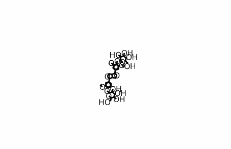 COc1cc(C2OCC3C(c4cc(OC)c(OC5OC(CO)C(O)C(O)C5O)c(OC)c4)OCC23)ccc1OC1OC(CO)C(O)C(O)C1O